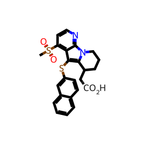 CS(=O)(=O)c1ccnc2c1c(Sc1ccc3ccccc3c1)c1n2CCCC1CC(=O)O